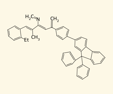 C=NC(=C\C(=C)c1ccc(-c2ccc3c(c2)C(c2ccccc2)(c2ccccc2)c2ccccc2-3)cc1)/C(C)=C/c1ccccc1CC